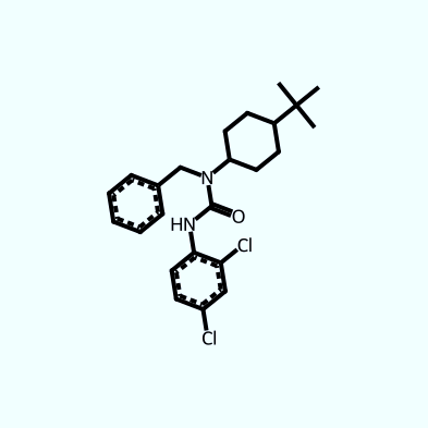 CC(C)(C)C1CCC(N(Cc2ccccc2)C(=O)Nc2ccc(Cl)cc2Cl)CC1